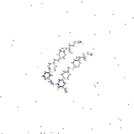 COCCC(=O)NC1CCC(CCN2CCN(c3cccc(C#N)c3)CC2)CC1.N#CCC(=O)NC1CCC(CCN2CCN(c3ccc(F)c(C#N)c3)CC2)CC1